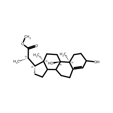 COC(=O)[C@@H](C)[C@H]1CCC2C3CCC4=CC(O)CC[C@]4(C)[C@@]3(O)CC[C@@]21C